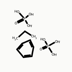 CCC.O=P(O)(O)O.O=P(O)(O)O.c1ccccc1